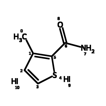 Cc1ccsc1C(N)=O.I.I